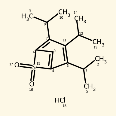 CC(C)c1c2cc(c(C(C)C)c1C(C)C)S2(=O)=O.Cl